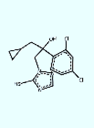 OC(CC1CC1)(Cn1ncnc1S)c1ccc(Cl)cc1Cl